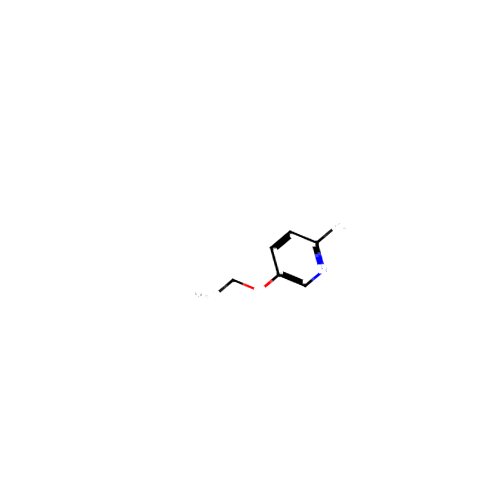 COCOc1ccc(C(C)(C)C)nc1